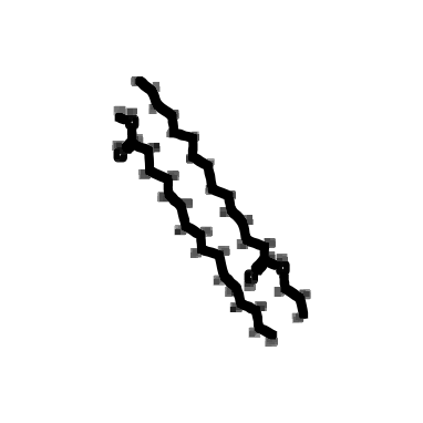 CCCCCCCCCCCCCCC(=O)OCCC.CCCCCCCCCCCCCCCC(=O)OC